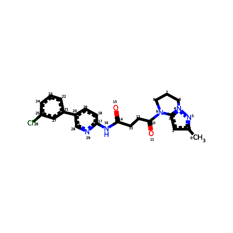 Cc1cc2n(n1)CCCN2C(=O)CCC(=O)Nc1ccc(-c2cccc(Cl)c2)cn1